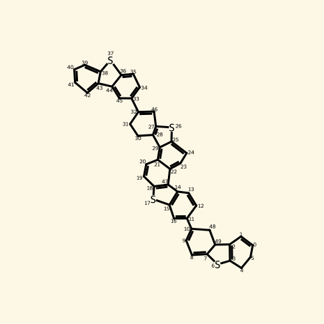 C1=CC2=C(CC1)SC1=CC=C(c3ccc4c(c3)sc3ccc5c(ccc6sc7c(c65)CCC(c5ccc6sc8ccccc8c6c5)=C7)c34)CC12